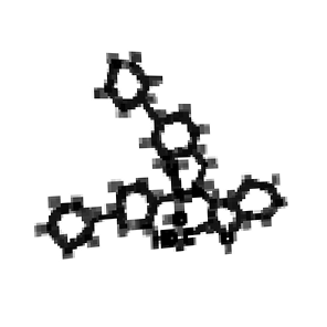 O=C(O)c1oc2ccccc2c1N(Cc1ccc(-c2ccccc2)cc1)S(=O)(=O)c1ccc(-c2ccccc2)cc1